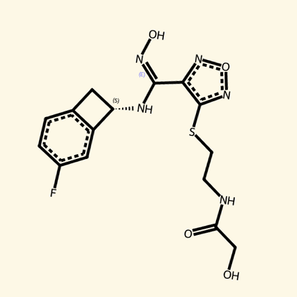 O=C(CO)NCCSc1nonc1/C(=N\O)N[C@H]1Cc2ccc(F)cc21